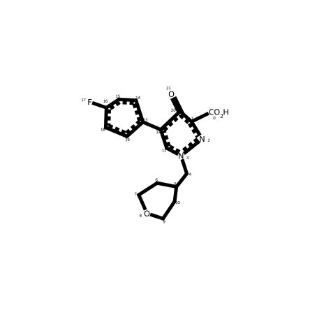 O=C(O)c1nn(CC2CCOCC2)cc(-c2ccc(F)cc2)c1=O